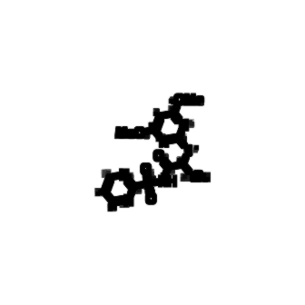 COc1cc(OC)nc(SC(C(=O)NS(=O)(=O)c2ncccn2)C(C)(C)C)n1